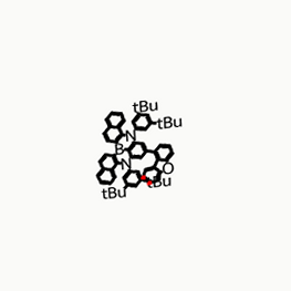 CC(C)(C)c1cc(N2c3cc(-c4cccc5oc6ccccc6c45)cc4c3B(c3ccc5ccccc5c32)c2ccc3ccccc3c2N4c2cc(C(C)(C)C)cc(C(C)(C)C)c2)cc(C(C)(C)C)c1